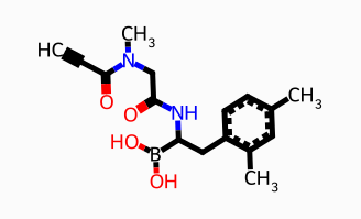 C#CC(=O)N(C)CC(=O)NC(Cc1ccc(C)cc1C)B(O)O